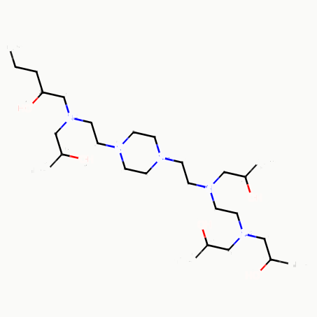 CCCCCCCCCCCCC(O)CN(CCN1CCN(CCN(CCN(CC(O)CCCCCCCCCC)CC(O)CCCCCCCCCC)CC(O)CCCCCCCCCC)CC1)CC(O)CCCCCCCCCC